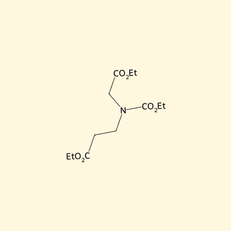 CCOC(=O)CCN(CC(=O)OCC)C(=O)OCC